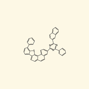 c1ccc(-c2nc(-c3ccc4ccccc4c3)nc(-c3ccc4c(ccc5ccc6c7cccc(-c8ccccc8)c7sc6c54)c3)n2)cc1